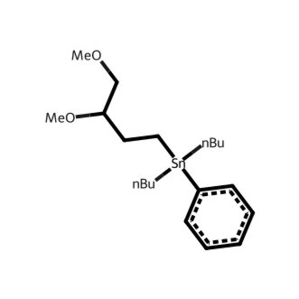 CCC[CH2][Sn]([CH2]CCC)([CH2]CC(COC)OC)[c]1ccccc1